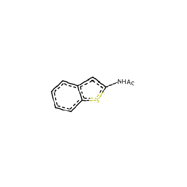 CC(=O)Nc1cc2ccccc2s1